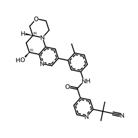 Cc1ccc(NC(=O)c2ccnc(C(C)(C)C#N)c2)cc1-c1cnc2c(c1)N1CCOC[C@H]1C[C@@H]2O